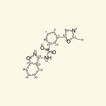 Cc1ncc(-c2cccc(S(=O)(=O)Nc3noc4ccccc34)c2)o1